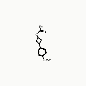 CCC(=O)OC1CC(c2ccc(OC)cc2)C1